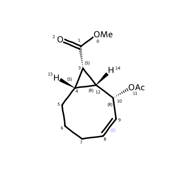 COC(=O)[C@H]1[C@H]2CCC/C=C\[C@@H](OC(C)=O)[C@H]21